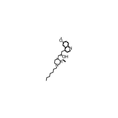 C=C[C@H]1CN(CCCCCCC)CC[C@H]1C[C@H](O)Cc1ccnc2ccc(OC)cc12